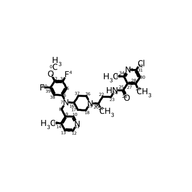 COc1c(F)cc(N(Cc2cnccc2C)C2CCN([C@H](C)CCNC(=O)c3c(C)cc(Cl)nc3C)CC2)cc1F